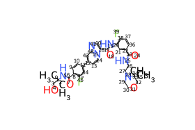 CC(C)(CO)NC(=O)c1ccc(-c2ccn3c(C(=O)Nc4cc(C(=O)NCCN5CCOCC5(C)C)ccc4F)cnc3c2)cc1F